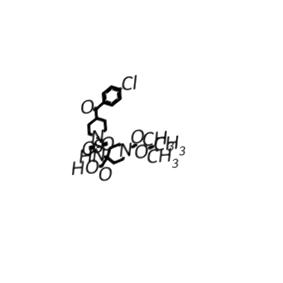 CC(C)(C)OC(=O)N1CCC(NS(=O)(=O)N2CCC(C(=O)c3ccc(Cl)cc3)CC2)(C(=O)O)CC1